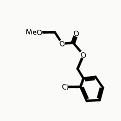 COCOC(=O)OCc1ccccc1Cl